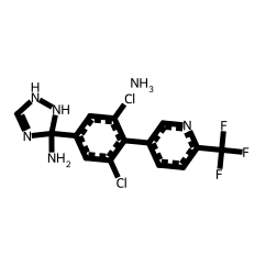 N.NC1(c2cc(Cl)c(-c3ccc(C(F)(F)F)nc3)c(Cl)c2)N=CNN1